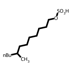 CCCCC(C)CCCCCCCOS(=O)(=O)O